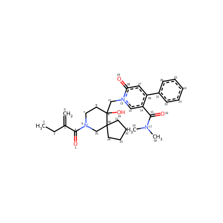 C=C(CC)C(=O)N1CCC(O)(Cn2cc(C(=O)N(C)C)c(-c3ccccc3)cc2=O)C2(CCCC2)C1